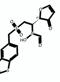 O=CN(O)C(CS(=O)(=O)Cc1ccc2sccc2c1)[C@@H]1OC=CC1=O